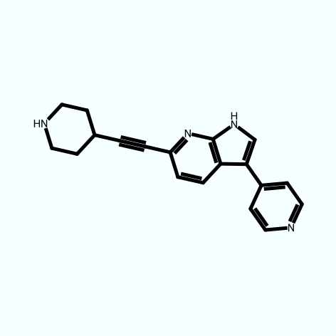 C(#CC1CCNCC1)c1ccc2c(-c3ccncc3)c[nH]c2n1